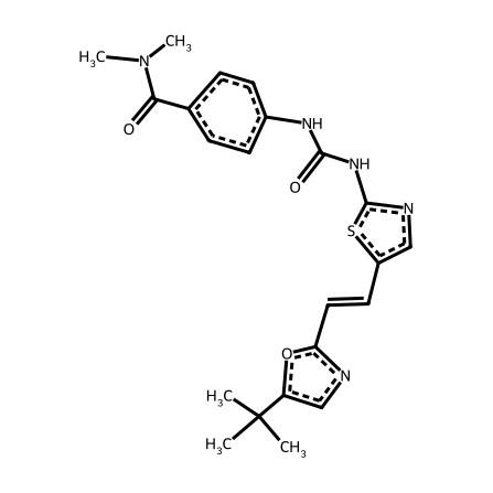 CN(C)C(=O)c1ccc(NC(=O)Nc2ncc(C=Cc3ncc(C(C)(C)C)o3)s2)cc1